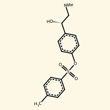 CNC[C@@H](O)c1ccc(OS(=O)(=O)c2ccc(C)cc2)cc1